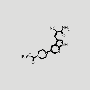 CC(C)(C)OC(=O)N1CCN(c2cnc3[nH]cc(/C=C(/C#N)C(N)=O)c3c2)CC1